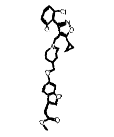 COC(=O)CC1COc2cc(OCC3CCN(Cc4c(-c5c(Cl)cccc5Cl)noc4C4CC4)CC3)ccc21